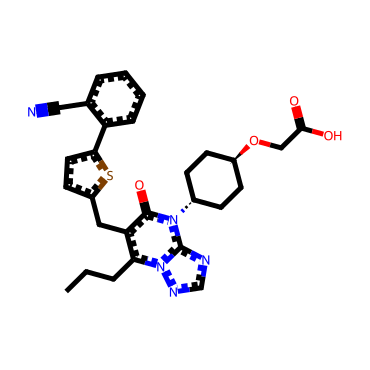 CCCc1c(Cc2ccc(-c3ccccc3C#N)s2)c(=O)n([C@H]2CC[C@H](OCC(=O)O)CC2)c2ncnn12